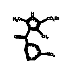 CCOC(=O)c1[nH]c(C)c(C(=O)c2cccc([N+](=O)[O-])c2)c1C